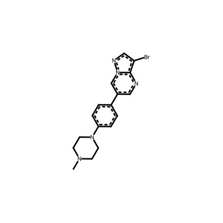 CN1CCN(c2ccc(-c3cnc4c(Br)cnn4c3)cc2)CC1